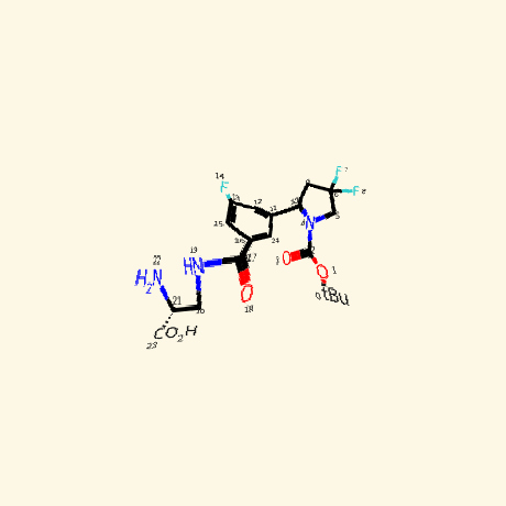 CC(C)(C)OC(=O)N1CC(F)(F)CC1c1cc(F)cc(C(=O)NC[C@@H](N)C(=O)O)c1